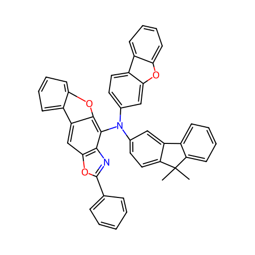 CC1(C)c2ccccc2-c2cc(N(c3ccc4c(c3)oc3ccccc34)c3c4nc(-c5ccccc5)oc4cc4c3oc3ccccc34)ccc21